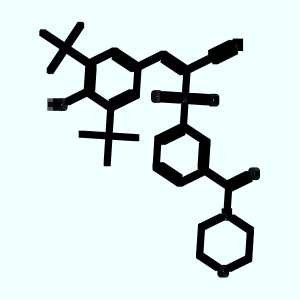 CC(C)(C)c1cc(C=C(C#N)S(=O)(=O)c2cccc(C(=O)N3CCOCC3)c2)cc(C(C)(C)C)c1O